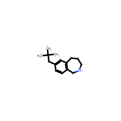 CC(C)(C)Cc1ccc2c(c1)CCCNC2